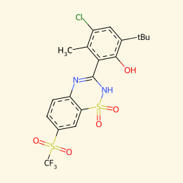 Cc1c(Cl)cc(C(C)(C)C)c(O)c1C1=Nc2ccc(S(=O)(=O)C(F)(F)F)cc2S(=O)(=O)N1